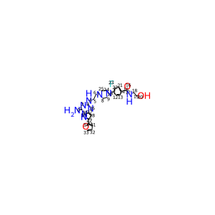 Nc1nc(NCCN2CCN(c3ccc(C(=O)NCCO)cc3F)CC2)nc2cc(-c3ccco3)nn12